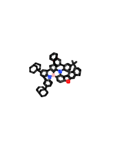 CC(C)(C)c1ccc(N2c3cc(-c4ccccc4)cc4c3B(c3ccc5oc6cc7ccccc7cc6c5c32)n2c3ccc(C56CCCC(CCC5)C6)cc3c3cc(C56CCCC(CCC5)C6)cc-4c32)c(-c2ccccc2)c1